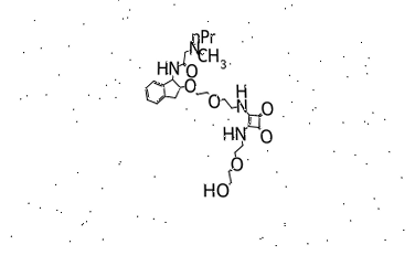 CCCN(C)CC(=O)NC1c2ccccc2CC1OCCOCCNc1c(NCCOCCO)c(=O)c1=O